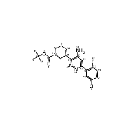 CC(C)(C)OC(=O)N1CCC=C(c2nnc(-c3cc(Cl)ccc3F)cc2N)C1